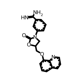 N=C(N)c1cccc(N2CC(COc3cccc4cccnc34)OC2=O)c1